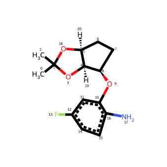 CC1(C)O[C@H]2[C@H](CC[C@H]2Oc2cc(F)ccc2N)O1